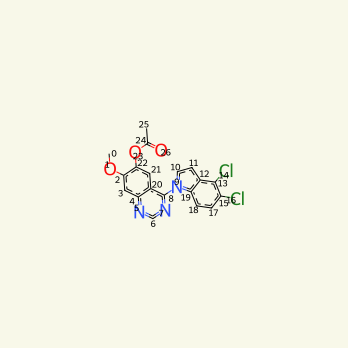 COc1cc2ncnc(-n3ccc4c(Cl)c(Cl)ccc43)c2cc1OC(C)=O